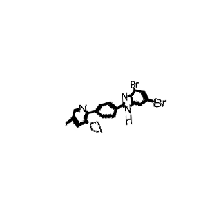 Cc1cnc(-c2ccc(-c3nc4c(Br)cc(Br)cc4[nH]3)cc2)c(Cl)c1